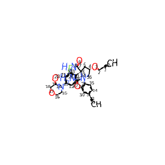 C#CCO[C@H]1C[C@](C(N)=O)(c2ccc(N3CCOCC3=O)cc2F)[N+](C(N)=O)(c2ccc(C#C)cc2)C1